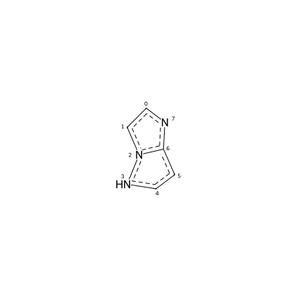 c1cn2[nH]ccc2n1